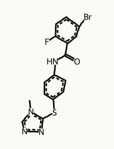 Cn1cnnc1Sc1ccc(NC(=O)c2cc(Br)ccc2F)cc1